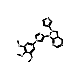 COc1cc(-n2cnc(N3C4=NC=NCC4CN3c3ccoc3)c2)cc(OC)c1OC